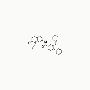 O=C(Nc1ccc2c(c1)N(CCF)C(=O)CC2)c1ccc(-c2ccccc2)c(CN2CCCCC2)c1